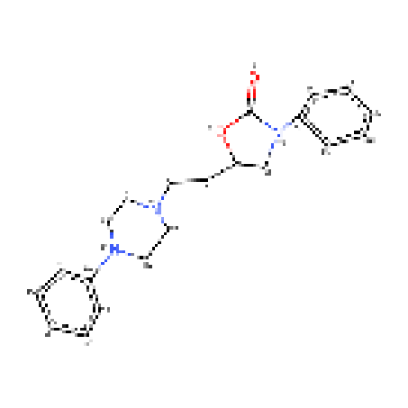 O=C1OC(CCN2CCN(c3ccccc3)CC2)CN1c1ccccc1